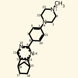 CN1CCN(C2=CC[C](c3ncc4c(n3)C3CCC4C3)C=C2)CC1